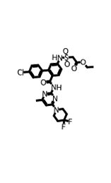 CCOC(=O)CS(=O)(=O)Nc1ccc(C(=O)Nc2nc(C)cc(N3CCC(F)(F)CC3)n2)c(-c2ccc(Cl)cc2)c1